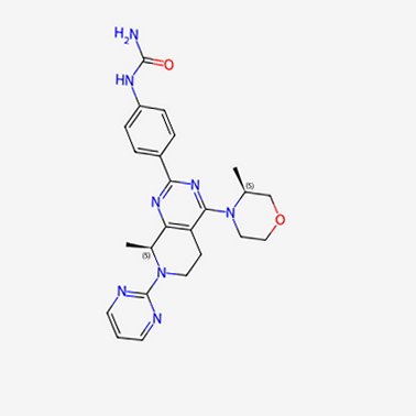 C[C@H]1COCCN1c1nc(-c2ccc(NC(N)=O)cc2)nc2c1CCN(c1ncccn1)[C@H]2C